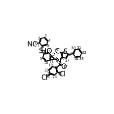 N#Cc1ccccc1Sc1ccc2c(c1)C2N(C(=O)c1ccc(Cl)cc1Cl)c1cc(-c2ccccc2)sc1C(=O)O